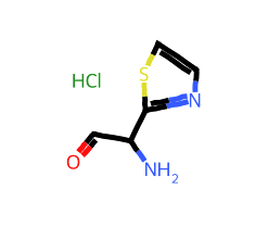 Cl.NC(C=O)c1nccs1